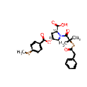 CSc1ccc(C(=O)O[C@@H]2C[C@@H](C(=O)O)N(C(=O)C(C)(C)SC(=O)Cc3ccccc3)C2)cc1